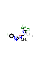 Cc1c(Cl)c(C(F)(F)F)nn1CC(=O)N(C)c1cnn(-c2ccc(F)cc2)c1